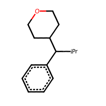 CC(C)C(c1ccccc1)C1CCOCC1